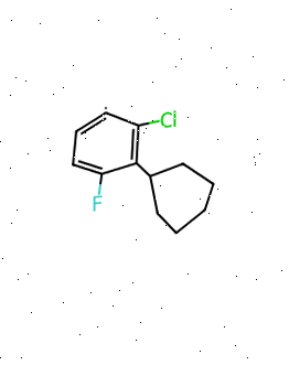 Fc1cc[c]c(Cl)c1C1CCCCC1